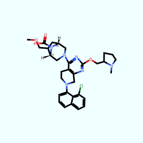 COCC1C[C@@H]2CN(c3nc(OCC4CCCN4C)nc4c3CCN(c3cccc5cccc(Cl)c35)C4)C[C@H]1N2C(=O)O